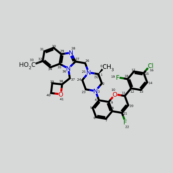 C[C@H]1CN(c2cccc3c2OC(c2ccc(Cl)cc2F)C=C3F)CCN1Cc1nc2ccc(C(=O)O)cc2n1CC1CCO1